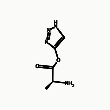 C[C@H](N)C(=O)Oc1c[nH]nn1